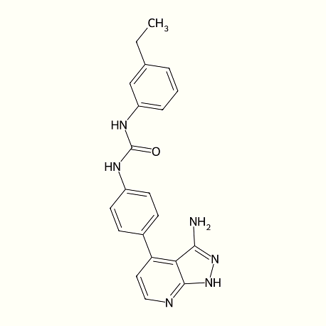 CCc1cccc(NC(=O)Nc2ccc(-c3ccnc4[nH]nc(N)c34)cc2)c1